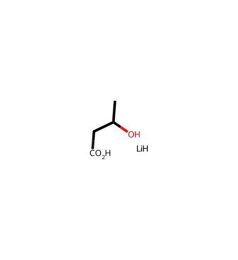 CC(O)CC(=O)O.[LiH]